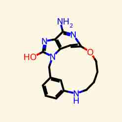 Nc1nc2cc3c1nc(O)n3Cc1cccc(c1)NCCCCO2